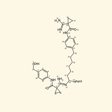 CCCCCCCCCCCc1ccc(NC(=O)C2(/C(N)=N/C(CCCCC)CCCCCCc3ccc(NC(=O)C4(C(=N)N)CC4)cc3)CC2)cc1